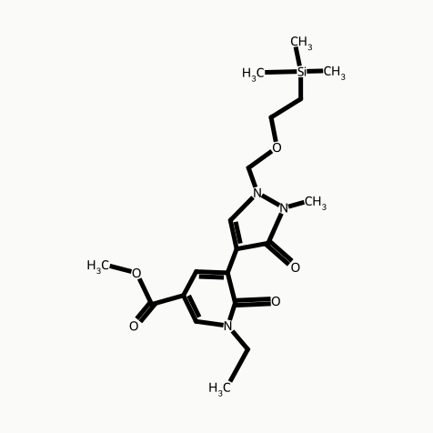 CCn1cc(C(=O)OC)cc(-c2cn(COCC[Si](C)(C)C)n(C)c2=O)c1=O